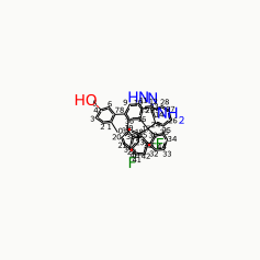 Cc1ccc(O)cc1-c1cc2[nH]nc(N)c2c(C(c2ccccc2)(c2ccccc2)c2ccccc2)c1Cc1cc(F)cc(F)c1